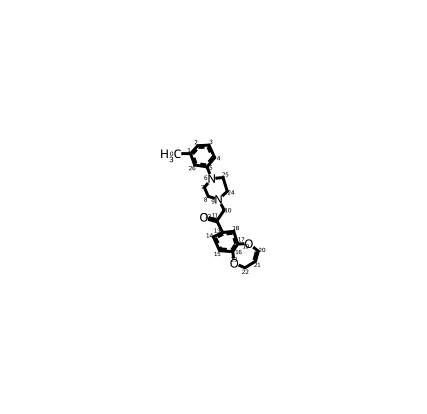 Cc1cccc(N2CCN(CC(=O)c3ccc4c(c3)OC=CCO4)CC2)c1